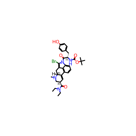 CCN(CC)C(=O)[C@@H]1C=C2c3cccc4c3c(c(Br)n4C(=O)[C@H](Cc3ccc(O)cc3)NC(=O)OC(C)(C)C)C[C@H]2N(C)C1